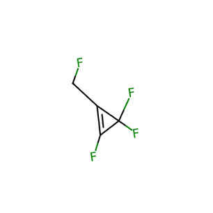 FCC1=C(F)C1(F)F